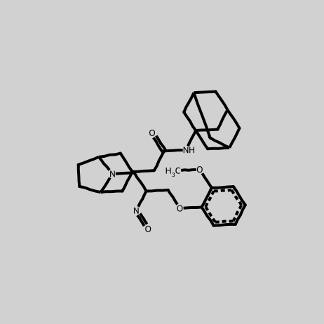 COc1ccccc1OCC(CN1C2CCC1CC(CC(=O)NC13CC4CC(CC(C4)C1)C3)C2)N=O